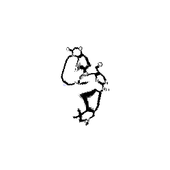 CN1Cc2cc(Nc3ncc(C=O)c(N4c5ccc6c(n5)N(CCC/C=C\CN4C)C(=O)CO6)n3)ccc2C(C)(C)C1